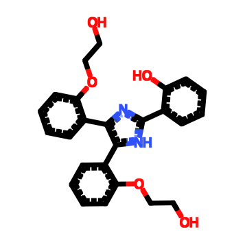 OCCOc1ccccc1-c1nc(-c2ccccc2O)[nH]c1-c1ccccc1OCCO